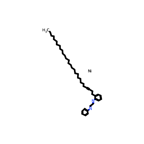 CCCCCCCCCCCCCCCCCCCCCCCCCC#CCCc1ccccc1N=CC=Nc1ccccc1.[Ni]